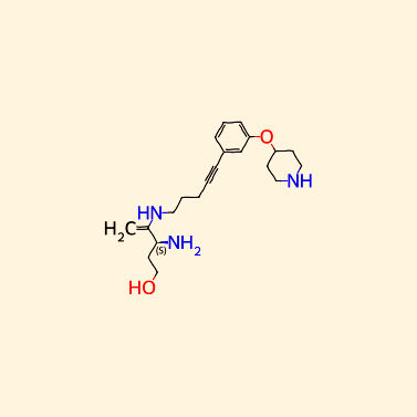 C=C(NCCCC#Cc1cccc(OC2CCNCC2)c1)[C@@H](N)CCO